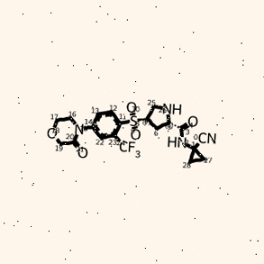 N#CC1(NC(=O)[C@@H]2C[C@@H](S(=O)(=O)c3ccc(N4CCOCC4=O)cc3C(F)(F)F)CN2)CC1